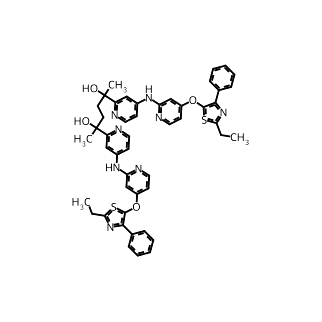 CCc1nc(-c2ccccc2)c(Oc2ccnc(Nc3ccnc(C(C)(O)CCC(C)(O)c4cc(Nc5cc(Oc6sc(CC)nc6-c6ccccc6)ccn5)ccn4)c3)c2)s1